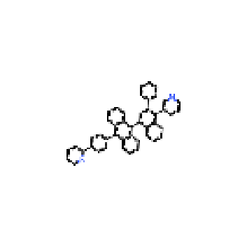 c1ccc(-c2cc(-c3c4ccccc4c(-c4ccc(-c5ccccn5)cc4)c4ccccc34)c3ccccc3c2-c2cccnc2)cc1